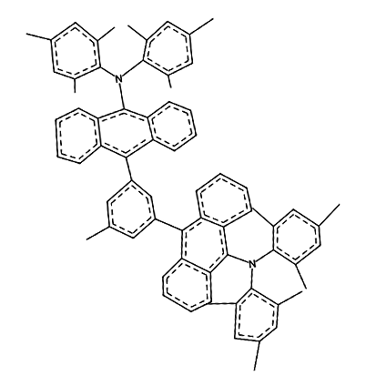 Cc1cc(-c2c3ccccc3c(N(c3c(C)cc(C)cc3C)c3c(C)cc(C)cc3C)c3ccccc23)cc(-c2c3ccccc3c(N(c3c(C)cc(C)cc3C)c3c(C)cc(C)cc3C)c3ccccc23)c1